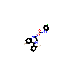 O=C(Nc1ccc(Cl)cc1)ONC1=Nc2ccc(Br)cc2C(c2ccccc2Br)=NC1